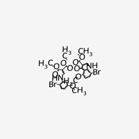 CCOC(=O)C(=CNc1cc(OC)ccc1Br)C(=O)OCC.CCOC(=O)c1c[nH]c2c(Br)ccc(OC)c2c1=O